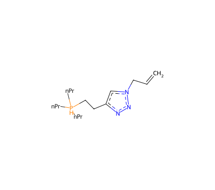 C=CCn1cc(CC[PH](CCC)(CCC)CCC)nn1